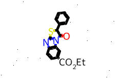 CCOC(=O)c1ccc2nc3n(c2c1)C(=O)C(c1ccccc1)S3